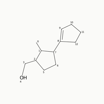 CC1C(CO)CCC1C1=CCCC1